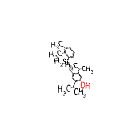 Cc1cccc([SiH2]CCc2cc(C(C)C)c(O)cc2C(C)C)c1C